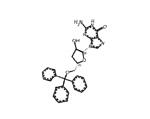 Nc1nc2c(ncn2[C@@H]2O[C@H](COC(c3ccccc3)(c3ccccc3)c3ccccc3)CC2O)c(=O)[nH]1